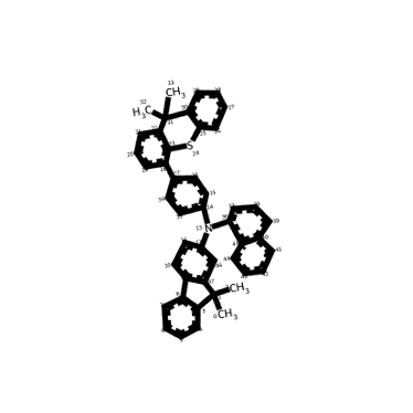 CC1(C)c2ccccc2-c2ccc(N(c3ccc(-c4cccc5c4Sc4ccccc4C5(C)C)cc3)c3cccc4ccccc34)cc21